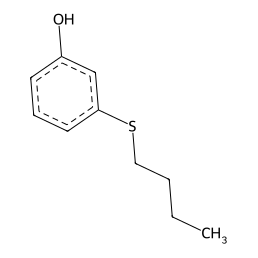 CCCCSc1cccc(O)c1